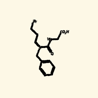 CC(C)CCCN(Cc1ccccc1)C(=O)NCC(=O)O